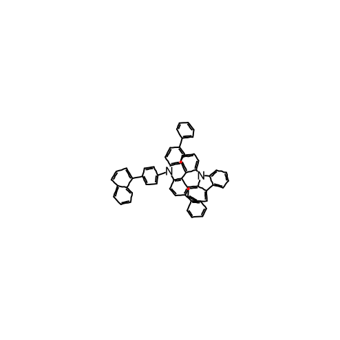 c1ccc(-c2ccc(N(c3ccc(-c4cccc5ccccc45)cc3)c3ccc(-c4ccccc4)cc3-c3ccccc3-n3c4ccccc4c4ccccc43)cc2)cc1